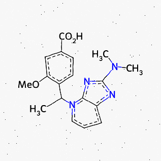 COc1cc(C(=O)O)ccc1C(C)n1cccc2nc(N(C)C)nc1-2